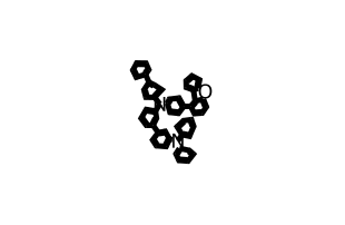 c1ccc(-c2ccc(N(c3ccc(-c4cccc5oc6ccccc6c45)cc3)c3cccc(-c4cccc(N(c5ccccc5)c5ccccc5)c4)c3)cc2)cc1